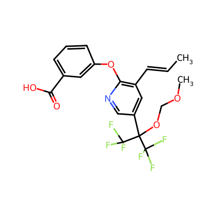 CC=Cc1cc(C(OCOC)(C(F)(F)F)C(F)(F)F)cnc1Oc1cccc(C(=O)O)c1